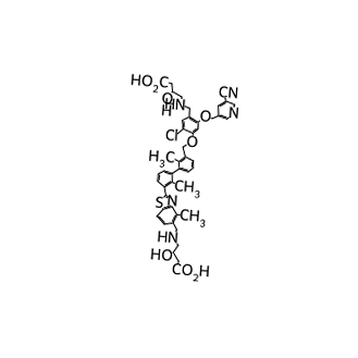 Cc1c(COc2cc(OCc3cncc(C#N)c3)c(CNCC(O)CC(=O)O)cc2Cl)cccc1-c1cccc(-c2nc3c(C)c(CNCC(O)CC(=O)O)ccc3s2)c1C